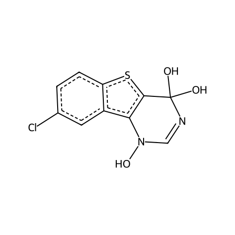 ON1C=NC(O)(O)c2sc3ccc(Cl)cc3c21